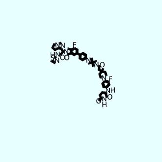 CC1(CC(=O)N2CC3(C2)CN(c2ccc(-c4cc(F)c5c(c4)C(=O)N(C(C(=O)Nc4nccs4)c4ncn6c4CCC6)C5)cc2)C3)CCN(c2ccc(N[C@@H]3CCC(=O)NC3=O)cc2F)CC1